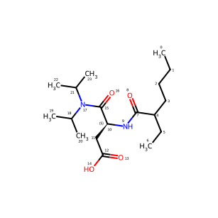 CCCCC(CC)C(=O)N[C@@H](CC(=O)O)C(=O)N(C(C)C)C(C)C